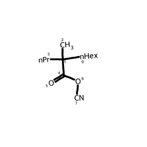 CCCCCCC(C)(CCC)C(=O)OC#N